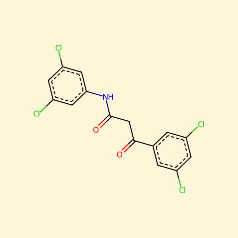 O=C(CC(=O)c1cc(Cl)cc(Cl)c1)Nc1cc(Cl)cc(Cl)c1